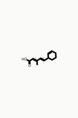 CC(/C=C/C1C=CCCC1)=C\C(=O)O